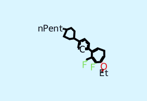 CCCCCC1CCC(c2ccc(C3=CCC=C(OCC)C(F)=C3CF)cc2)CC1